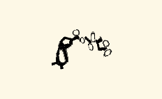 CC1C(C)C2CC1C1C3CC(C(=O)OCC(=O)OC4COC(=O)C4)C(C3)C21